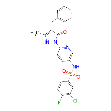 Cc1[nH]n(-c2ccc(NS(=O)(=O)c3ccc(F)c(Cl)c3)cn2)c(=O)c1Cc1ccccc1